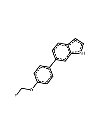 FCOc1ccc(-c2ccc3cc[nH]c3c2)cc1